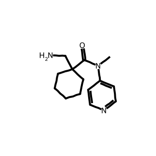 CN(C(=O)C1(CN)CCCCC1)c1ccncc1